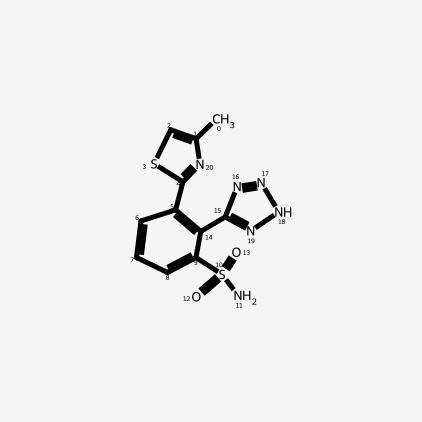 Cc1csc(-c2cccc(S(N)(=O)=O)c2-c2nn[nH]n2)n1